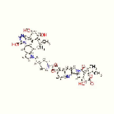 CCC1(CC)OC(=O)C(O)c2cc3n(c(=O)c21)Cc1cc2cc(OC(=O)N4CCC(CCn5ccc6cc(-n7c(O)nnc7-c7cc(C(C)C)c(O)cc7O)ccc65)CC4)ccc2nc1-3